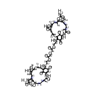 CO[C@H]1/C=C\C=C(/C)C(=O)NC2=CC(=O)C(NCCOC(=O)COCC(=O)OCCNC3=C4C[C@@H](C)C[C@H](OC)[C@H](O)[C@@H](C)/C=C(\C)[C@H](OC(N)=O)[C@@H](OC)/C=C\C=C(/C)C(=O)NC(=CC3=O)C4=O)=C(C[C@@H](C)C[C@H](OC)[C@H](O)[C@@H](C)/C=C(\C)[C@@H]1OC(N)=O)C2=O